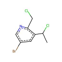 CC(Cl)c1cc(Br)cnc1CCl